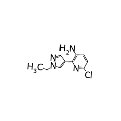 CCn1cc(-c2nc(Cl)ccc2N)cn1